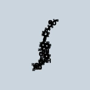 CCOC(=O)CCCCN1CCC(C#Cc2ccc([C@@H](C)NC(=O)c3cc(N[C@H]4CN(C(=O)OC(C)(C)C)C[C@@H]4F)ccc3C)c3ccccc23)CC1